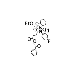 CCOC(=O)C1=CCCCC1S(=O)(=O)N(C(=O)CCC(=O)OCC(=O)c1ccccc1)c1ccc(F)cc1Cl